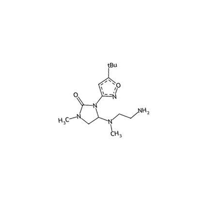 CN1CC(N(C)CCN)N(c2cc(C(C)(C)C)on2)C1=O